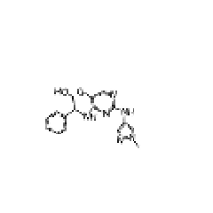 Cn1cc(Nc2ncc(Cl)c(N[C@H](CO)c3ccccc3)n2)cn1